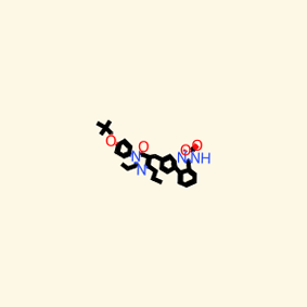 CCCc1nc(CC)n(-c2ccc(OCC(C)(C)C)cc2)c(=O)c1Cc1ccc(-c2ccccc2-c2noc(=O)[nH]2)cc1